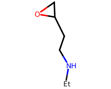 CCNCCC1CO1